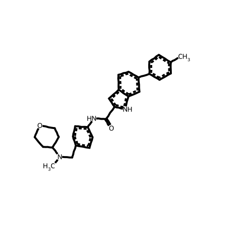 Cc1ccc(-c2ccc3cc(C(=O)Nc4ccc(CN(C)C5CCOCC5)cc4)[nH]c3c2)cc1